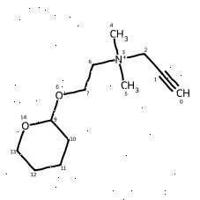 C#CC[N+](C)(C)CCOC1CCCCO1